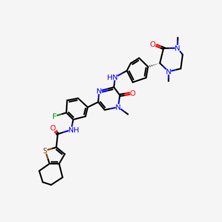 CN1CCN(C)[C@H](c2ccc(Nc3nc(-c4ccc(F)c(NC(=O)c5cc6c(s5)CCCC6)c4)cn(C)c3=O)cc2)C1=O